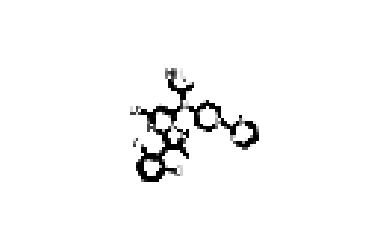 CCc1cc(N(C(C)CN)C2CCN(c3ncccn3)CC2)n2nc(C)c(-c3c(Cl)cccc3Cl)c2n1